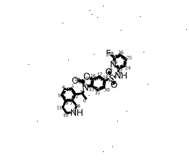 CC(c1cccc2c1CNCC2)n1c(=O)oc2cc(S(=O)(=O)Nc3cccc(F)n3)ccc21